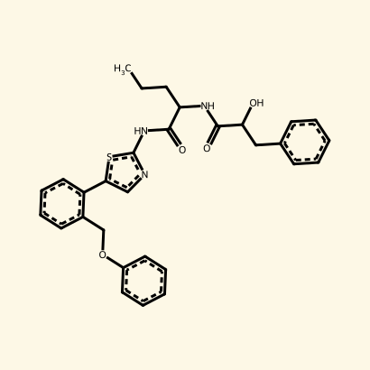 CCCC(NC(=O)C(O)Cc1ccccc1)C(=O)Nc1ncc(-c2ccccc2COc2ccccc2)s1